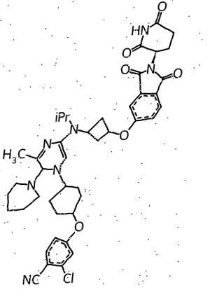 CC1=NC(N(C(C)C)C2CC(Oc3ccc4c(c3)C(=O)N([C@@H]3CCC(=O)NC3=O)C4=O)C2)=CN(C2CCC(Oc3ccc(C#N)c(Cl)c3)CC2)C1N1CCCCC1